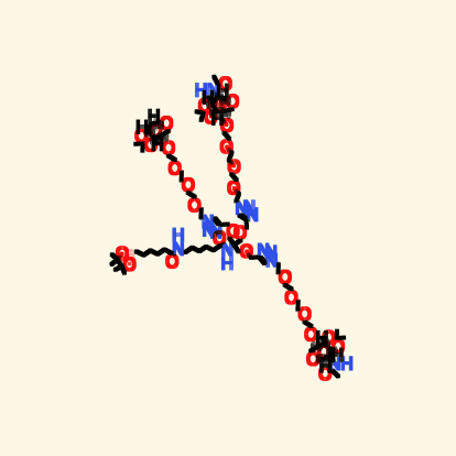 CC(=O)N[C@H]1[C@H]2OC[C@](COCCOCCOCCOCCn3cc(COCC(COCc4cn(CCOCCOCCOCCOC[C@@]56CO[C@@H](O5)[C@H](NC(C)=O)[C@H]5OC(C)(C)O[C@H]56)nn4)(COCc4cn(CCOCCOCCOCCOC[C@]56CO[C@H](C[C@H]7OC(C)(C)O[C@H]75)O6)nn4)NC(=O)CCCCCNC(=O)CCCCCB4OC(C)(C)C(C)(C)O4)nn3)(O2)[C@@H]2OC(C)(C)O[C@H]12